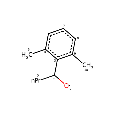 CCCC([O])c1c(C)cccc1C